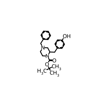 CC(C)(C)OC(=O)N1CCN(Cc2ccccc2)CC1Cc1ccc(O)cc1